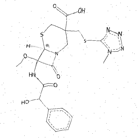 COC1(NC(=O)C(O)c2ccccc2)C(=O)N2CC(CSc3nnnn3C)(C(=O)O)CS[C@@H]21